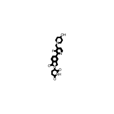 O=C1CCC(N2Cc3cc(-c4nccc(CN5CCC(O)CC5)c4F)ccc3C2=O)C(=O)N1